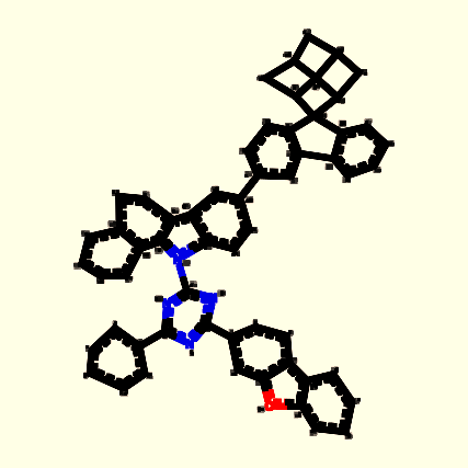 c1ccc(-c2nc(-c3ccc4c(c3)oc3ccccc34)nc(-n3c4ccc(-c5ccc6c(c5)-c5ccccc5C65C6CC7CC8CC5C786)cc4c4ccc5ccccc5c43)n2)cc1